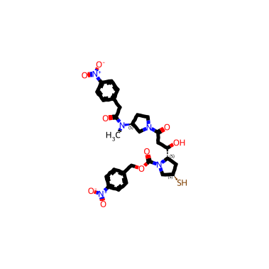 CN(C(=O)Cc1ccc([N+](=O)[O-])cc1)[C@H]1CCN(C(=O)CC(O)[C@@H]2C[C@H](S)CN2C(=O)OCc2ccc([N+](=O)[O-])cc2)C1